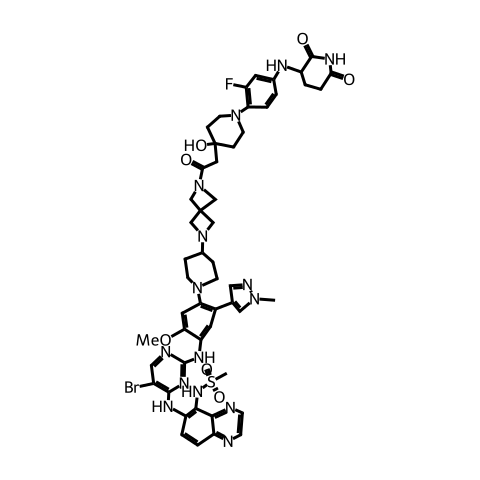 COc1cc(N2CCC(N3CC4(CN(C(=O)CC5(O)CCN(c6ccc(NC7CCC(=O)NC7=O)cc6F)CC5)C4)C3)CC2)c(-c2cnn(C)c2)cc1Nc1ncc(Br)c(Nc2ccc3nccnc3c2NS(C)(=O)=O)n1